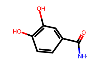 [NH]C(=O)c1ccc(O)c(O)c1